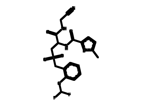 Cc1ccc(C(=O)NC(CS(=O)(=O)Cc2ccccc2OC(F)F)C(=O)NCC#N)s1